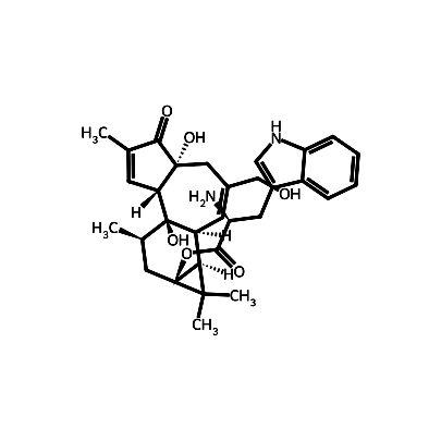 CC1=C[C@H]2[C@@]3(O)[C@H](C)C[C@]4(OC(=O)[C@@H](N)Cc5c[nH]c6ccccc56)[C@@H]([C@@H]3C=C(CO)C[C@]2(O)C1=O)C4(C)C